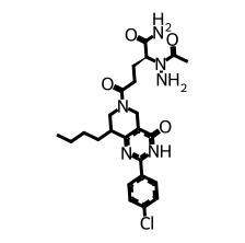 CCCCC1CN(C(=O)CC[C@@H](C(N)=O)N(N)C(C)=O)Cc2c1nc(-c1ccc(Cl)cc1)[nH]c2=O